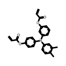 C=CC(=O)Oc1ccc(N(c2cccc(OC(=O)C=C)c2)c2ccc(C)c(C)c2)cc1